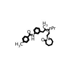 CCCN(CCN1CCCCCC1=O)C(C)Cc1cccc(NC(=O)c2ccc(C)cc2)c1